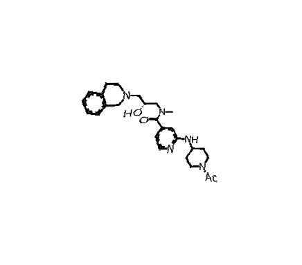 CC(=O)N1CCC(Nc2cc(C(=O)N(C)C[C@H](O)CN3CCc4ccccc4C3)ccn2)CC1